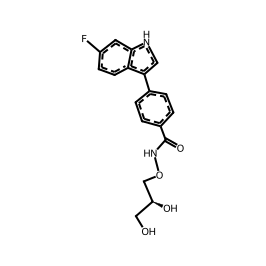 O=C(NOC[C@@H](O)CO)c1ccc(-c2c[nH]c3cc(F)ccc23)cc1